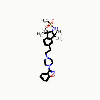 CC1(C)c2ccc(CCN3CCN(c4noc5ccccc45)CC3)cc2C(C)(C)C1NS(C)(=O)=O